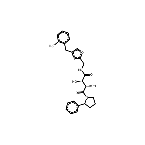 Cc1ccccc1Cc1coc(CNC(=O)[C@H](O)[C@@H](O)C(=O)N2CCCC2c2ccccc2)n1